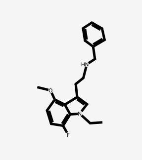 CCn1cc(CCNCc2ccccc2)c2c(OC)ccc(F)c21